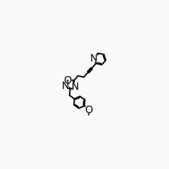 COc1ccc(Cc2noc(CCC#Cc3ccccn3)n2)cc1